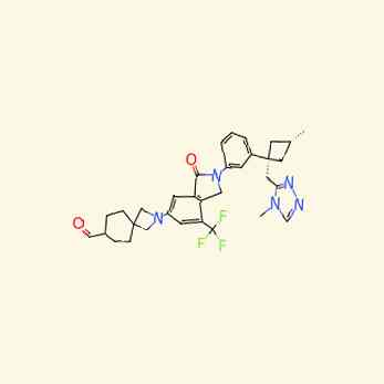 Cn1cnnc1C[C@]1(c2cccc(N3Cc4c(cc(N5CC6(CCC(C=O)CC6)C5)cc4C(F)(F)F)C3=O)c2)C[C@H](C)C1